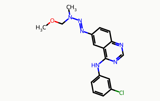 COCN(C)N=Nc1ccc2ncnc(Nc3cccc(Cl)c3)c2c1